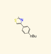 CCCCc1ccc(-c2cs[c]n2)cc1